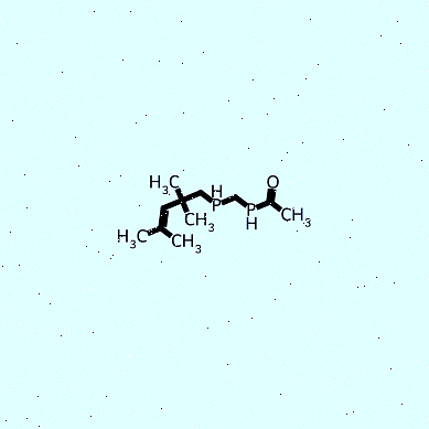 CC(=O)PCPCC(C)(C)C=C(C)C